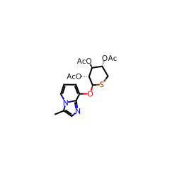 CC(=O)O[C@@H]1[C@@H](OC(C)=O)[C@H](OC(C)=O)CS[C@H]1Oc1cccn2c(C)cnc12